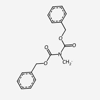 [CH2]N(C(=O)OCc1ccccc1)C(=O)OCc1ccccc1